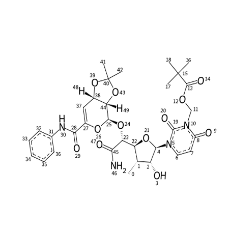 C[C@H]1[C@@H](O)[C@H](n2ccc(=O)n(COC(=O)C(C)(C)C)c2=O)O[C@@H]1[C@@H](O[C@H]1OC(C(=O)Nc2ccccc2)=C[C@@H]2OC(C)(C)O[C@H]12)C(N)=O